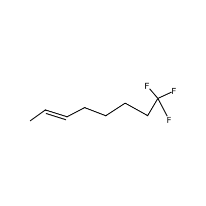 CC=CCCCCC(F)(F)F